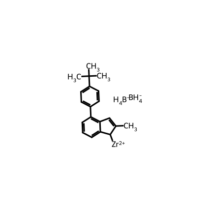 CC1=Cc2c(-c3ccc(C(C)(C)C)cc3)cccc2[CH]1[Zr+2].[BH4-].[BH4-]